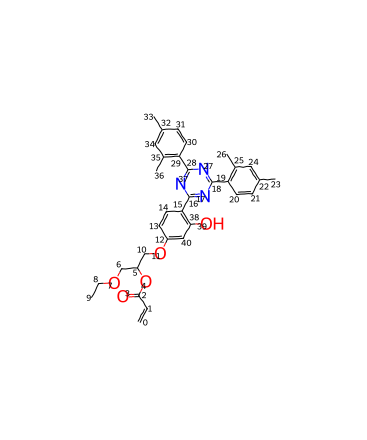 C=CC(=O)OC(COCC)COc1ccc(-c2nc(-c3ccc(C)cc3C)nc(-c3ccc(C)cc3C)n2)c(O)c1